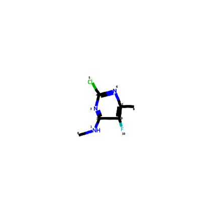 CNc1nc(Cl)nc(C)c1F